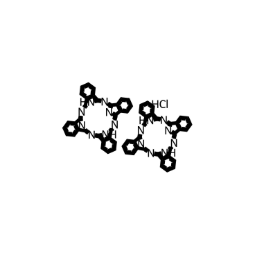 Cl.c1ccc2c(c1)-c1nc-2nc2[nH]c(nc3nc(nc4[nH]c(n1)c1ccccc41)-c1ccccc1-3)c1ccccc21.c1ccc2c(c1)-c1nc-2nc2[nH]c(nc3nc(nc4[nH]c(n1)c1ccccc41)-c1ccccc1-3)c1ccccc21